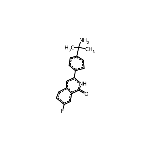 CC(C)(N)c1ccc(-c2cc3ccc(F)cc3c(=O)[nH]2)cc1